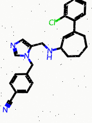 N#Cc1ccc(Cn2cncc2CNC2C=C(c3ccccc3Cl)CCCC2)cc1